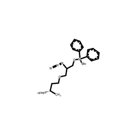 CCCCCCC[C@@H](C)CCOCC(CO[Si](c1ccccc1)(c1ccccc1)C(C)(C)C)N=[N+]=[N-]